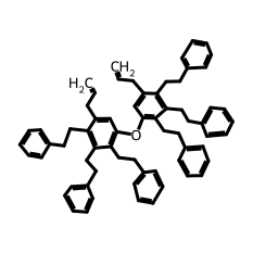 C=CCc1cc(Oc2cc(CC=C)c(CCc3ccccc3)c(CCc3ccccc3)c2CCc2ccccc2)c(CCc2ccccc2)c(CCc2ccccc2)c1CCc1ccccc1